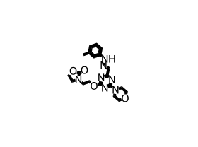 Cc1cccc(NN=Cc2nc(OCCN3CCOC3=O)nc(N3CCOCC3)n2)c1